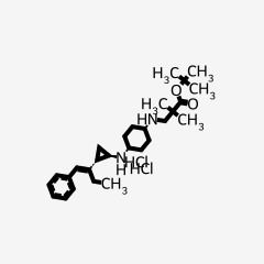 CC/C(=C\c1ccccc1)[C@@H]1C[C@H]1N[C@H]1CC[C@@H](NCC(C)(C)C(=O)OC(C)(C)C)CC1.Cl.Cl